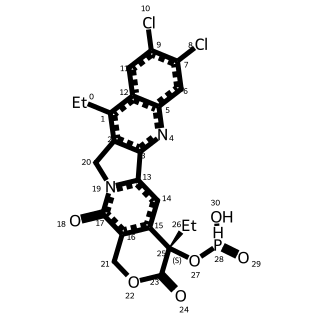 CCc1c2c(nc3cc(Cl)c(Cl)cc13)-c1cc3c(c(=O)n1C2)COC(=O)[C@@]3(CC)O[PH](=O)O